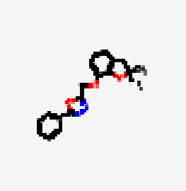 CC1(C)Cc2cccc(OCc3nnc(-c4ccccc4)o3)c2O1